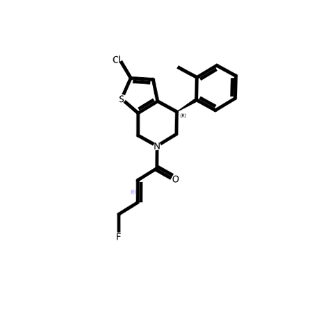 Cc1ccccc1[C@H]1CN(C(=O)/C=C/CF)Cc2sc(Cl)cc21